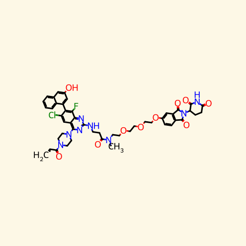 C=CC(=O)N1CCN(c2nc(NCCC(=O)N(C)CCOCCOCCOc3ccc4c(c3)C(=O)N(C3CCC(=O)NC3=O)C4=O)nc3c(F)c(-c4cc(O)cc5ccccc45)c(Cl)cc23)CC1